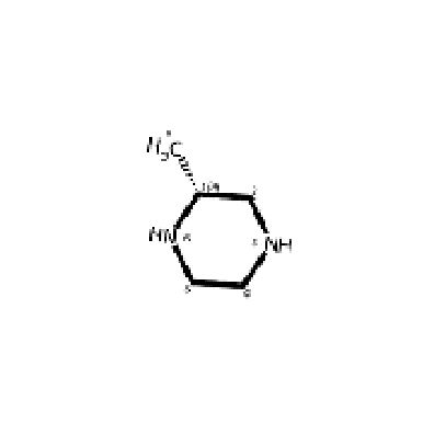 C[C@@H]1[CH]NCCN1